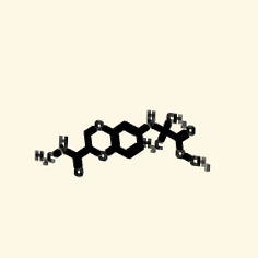 CNC(=O)C1COc2cc(NC(C)(C)C(=O)OC)ccc2O1